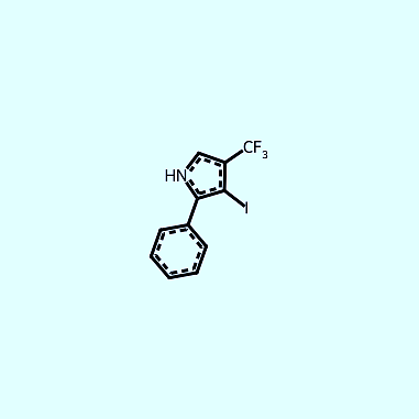 FC(F)(F)c1c[nH]c(-c2ccccc2)c1I